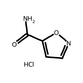 Cl.NC(=O)c1ccno1